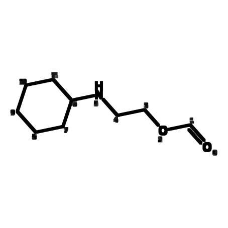 O=COCCNC1CCCCC1